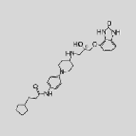 O=C(CCC1CCCC1)Nc1ccc(N2CCC(NC[C@H](O)COc3cccc4[nH]c(=O)[nH]c34)CC2)cc1